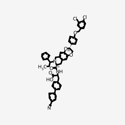 CCC(c1ccccc1)N1Cc2cc3c(cc2C[C@H]1C(=O)NC(Cc1ccc(-c2ccc(C#N)cc2)cc1)C(=O)O)OC[C@@H](c1ccc(OCc2ccc(Cl)c(Cl)c2)cc1)O3